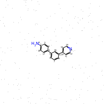 Nc1ccc(-c2cccc(-c3ccncc3)c2)cc1